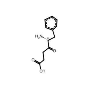 N[C@H](Cc1ccccc1)C(=O)CCC(=O)O